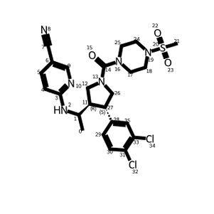 CC(Nc1ccc(C#N)cn1)[C@H]1CN(C(=O)N2CCN(S(C)(=O)=O)CC2)C[C@@H]1c1ccc(Cl)c(Cl)c1